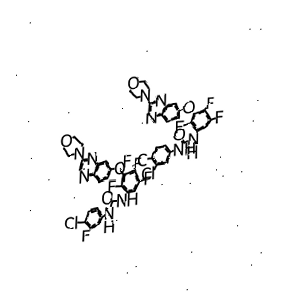 O=C(Nc1ccc(C(F)(F)F)c(Cl)c1)Nc1cc(F)c(F)c(Oc2ccc3ncc(N4CCOCC4)nc3c2)c1F.O=C(Nc1ccc(Cl)c(F)c1)Nc1cc(F)c(F)c(Oc2ccc3ncc(N4CCOCC4)nc3c2)c1F